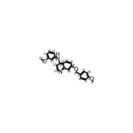 COc1ccc(COc2ccc3c(Nc4cccc(OC)c4)ccnc3c2)cc1